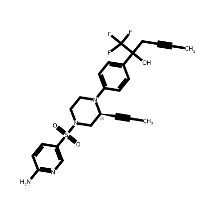 CC#CCC(O)(c1ccc(N2CCN(S(=O)(=O)c3ccc(N)nc3)C[C@@H]2C#CC)cc1)C(F)(F)F